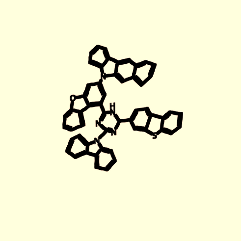 c1ccc2cc3c(cc2c1)c1ccccc1n3-c1cc(C2=NC(n3c4ccccc4c4ccccc43)=NC(c3ccc4c(c3)sc3ccccc34)N2)c2c(c1)oc1ccccc12